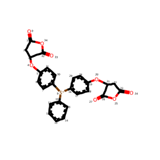 O=C1CC(Oc2ccc([S+](c3ccccc3)c3ccc(OC4CC(=O)OC4=O)cc3)cc2)C(=O)O1